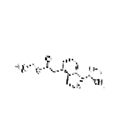 CCOC(=O)Cc1cccc2c(C(C)C)nccc12